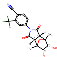 CC12OC(C)([C@H](O)[C@@H]1O)[C@H]1C(=O)N(c3ccc(C#N)c(C(F)(F)F)c3)C(=O)[C@H]12